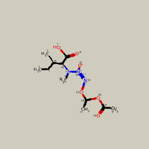 CC[C@@H](C)[C@@H](C(=O)O)N(C)/[N+]([O-])=N\OC(C)OC(C)=O